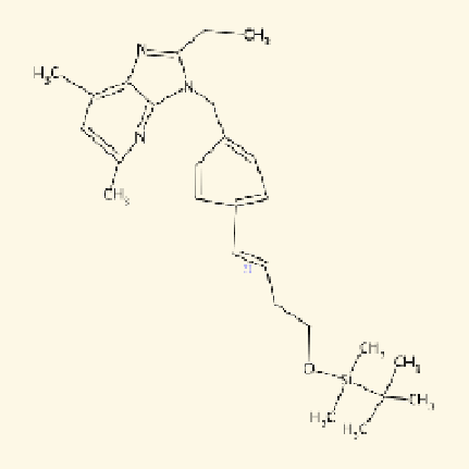 CCc1nc2c(C)cc(C)nc2n1Cc1ccc(/C=C/CCO[Si](C)(C)C(C)(C)C)cc1